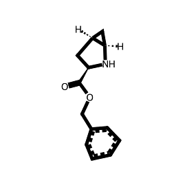 O=C(OCc1ccccc1)[C@H]1C[C@H]2C[C@H]2N1